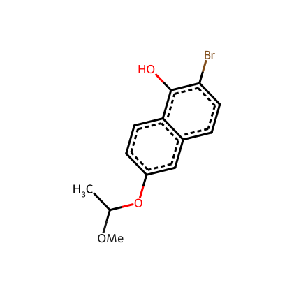 COC(C)Oc1ccc2c(O)c(Br)ccc2c1